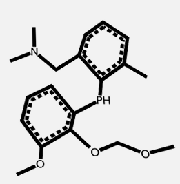 COCOc1c(OC)cccc1Pc1c(C)cccc1CN(C)C